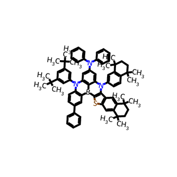 CC(C)(C)c1cc(N2c3ccc(-c4ccccc4)cc3B3c4sc5cc6c(cc5c4N(c4ccc5c(c4)C(C)(C)CCC5(C)C)c4cc(N(c5ccccc5)c5ccccc5)cc2c43)C(C)(C)CCC6(C)C)cc(C(C)(C)C)c1